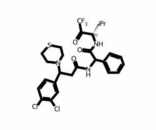 CC(C)[C@H](NC(=O)C(NC(=O)CC(c1ccc(Cl)c(Cl)c1)N1CCSCC1)c1ccccc1)C(=O)C(F)(F)F